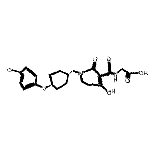 O=C(O)CNC(=O)C1=C(O)CCN(C[C@H]2CC[C@H](Oc3ccc(Cl)cc3)CC2)C1=O